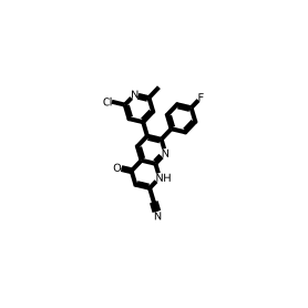 Cc1cc(-c2cc3c(=O)cc(C#N)[nH]c3nc2-c2ccc(F)cc2)cc(Cl)n1